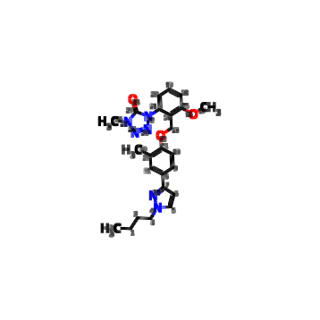 CCCCn1ccc(-c2ccc(OCc3c(OC)cccc3-n3nnn(C)c3=O)c(C)c2)n1